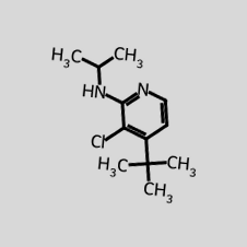 CC(C)Nc1nccc(C(C)(C)C)c1Cl